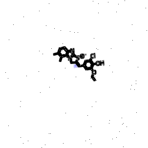 CCOc1cc(/C=C2/Cn3c(nc4ccc(C)c(C)c43)[S+]2[O-])cc(Cl)c1O